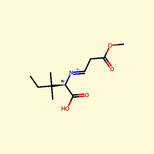 CCC(C)(C)[C@@H](/N=C/CC(=O)OC)C(=O)O